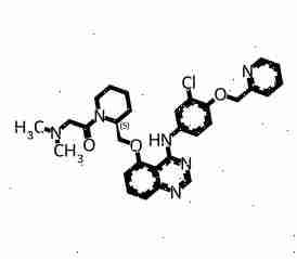 CN(C)CC(=O)N1CCCC[C@H]1COc1cccc2ncnc(Nc3ccc(OCc4ccccn4)c(Cl)c3)c12